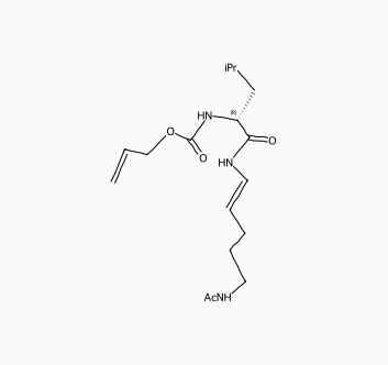 C=CCOC(=O)N[C@H](CC(C)C)C(=O)NC=CCCCNC(C)=O